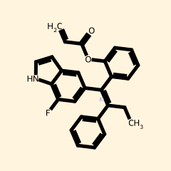 C=CC(=O)Oc1ccccc1/C(=C(\CC)c1ccccc1)c1cc(F)c2[nH]ccc2c1